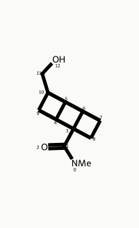 CNC(=O)C12C3C4C1C1C2C3C41CO